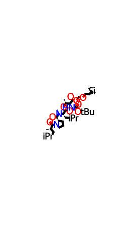 CC(C)C[C@H](C)C(=O)N1CCC[C@H]1C(=O)N(C)[C@@H](CC(C)C)C(=O)O[C@H](C)[C@H](NC(=O)OC(C)(C)C)C(=O)OCOCC[Si](C)(C)C